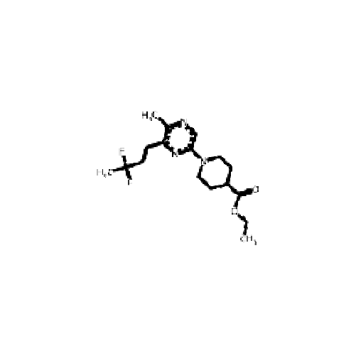 CCOC(=O)C1CCN(c2cnc(C)c(CCC(C)(F)F)n2)CC1